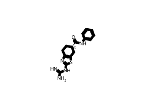 N=C(N)Nc1nc2c(s1)C[C@@H](C(=O)Nc1ccccc1)CC2